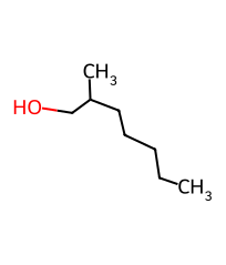 CCCCCC(C)CO